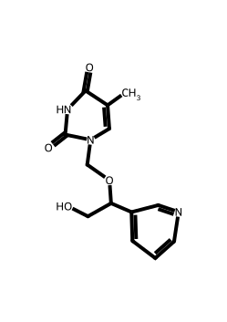 Cc1cn(COC(CO)c2cccnc2)c(=O)[nH]c1=O